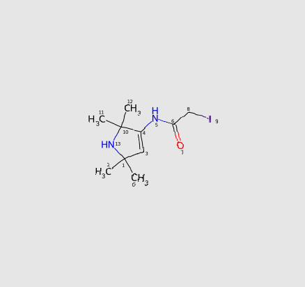 CC1(C)C=C(NC(=O)CI)C(C)(C)N1